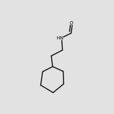 O=CNCCC1CCCCC1